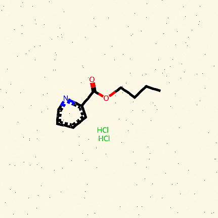 CCCCOC(=O)c1ccccn1.Cl.Cl